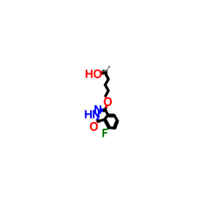 C[C@@H](O)CCCCOc1n[nH]c(=O)c2c(F)cccc12